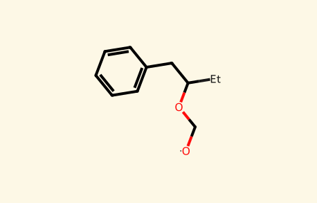 CCC(Cc1ccccc1)OC[O]